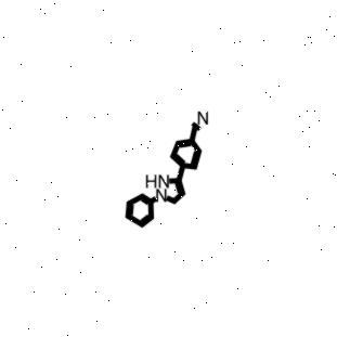 N#Cc1ccc(C2=CCN(c3ccccc3)N2)cc1